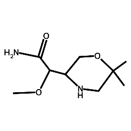 COC(C(N)=O)C1COC(C)(C)CN1